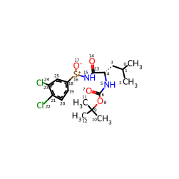 CC(C)C[C@H](NC(=O)OC(C)(C)C)C(=O)N[S+]([O-])c1ccc(Cl)c(Cl)c1